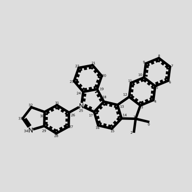 CC1(C)c2cc3ccccc3cc2-c2c1ccc1c2c2ccccc2n1-c1ccc2c(c1)CC=N2